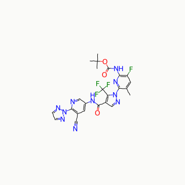 Cc1cc(F)c(NC(=O)OC(C)(C)C)nc1-n1ncc(C(=O)Nc2cnc(-n3nccn3)c(C#N)c2)c1C(F)(F)F